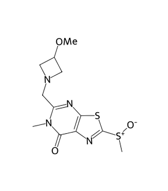 COC1CN(Cc2nc3sc([S+](C)[O-])nc3c(=O)n2C)C1